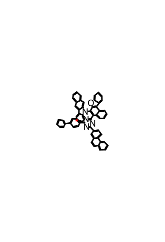 c1ccc(-c2ccc(-c3nc(-c4ccc5c(ccc6ccccc65)c4)nc(-c4c(-n5c6ccccc6c6cc7ccccc7cc65)c5oc6ccccc6c5c5ccccc45)n3)cc2)cc1